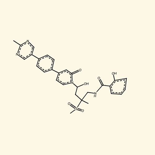 Cc1ncc(-c2ccc(-c3ccn(C(O)CC(C)(CNC(=O)c4ccccc4O)S(C)(=O)=O)c(=O)c3)cc2)cn1